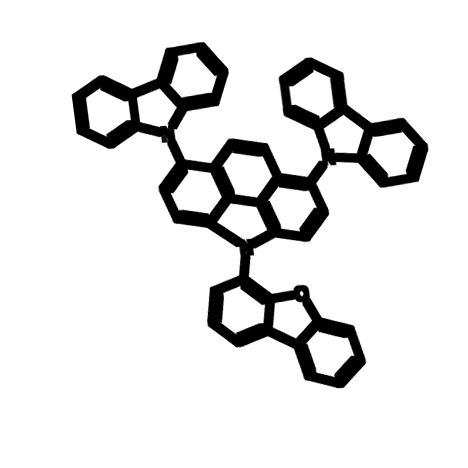 c1ccc2c(c1)oc1c(-n3c4ccc(-n5c6ccccc6c6ccccc65)c5ccc6c(-n7c8ccccc8c8ccccc87)ccc3c6c54)cccc12